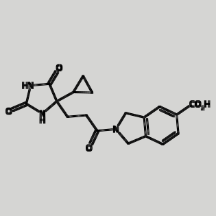 O=C1NC(=O)C(CCC(=O)N2Cc3ccc(C(=O)O)cc3C2)(C2CC2)N1